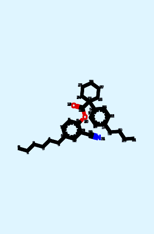 CCCCCCc1ccc(OC(=O)C2(c3ccc(CCCC)cc3)CCCCC2)c(C#N)c1